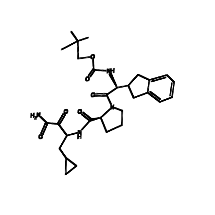 CC(C)(C)COC(=O)N[C@H](C(=O)N1CCC[C@H]1C(=O)NC(CC1CC1)C(=O)C(N)=O)C1Cc2ccccc2C1